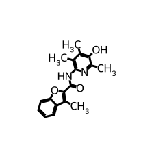 Cc1nc(NC(=O)c2oc3ccccc3c2C)c(C)c(C)c1O